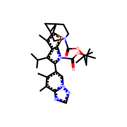 Cc1c(-c2c(C(C)C)c3c(C)c(C45CCN(C(=O)OC(C)(C)C)CC4C5)sc3n2C(=O)OC(C)(C)C)cn2ncnc2c1C